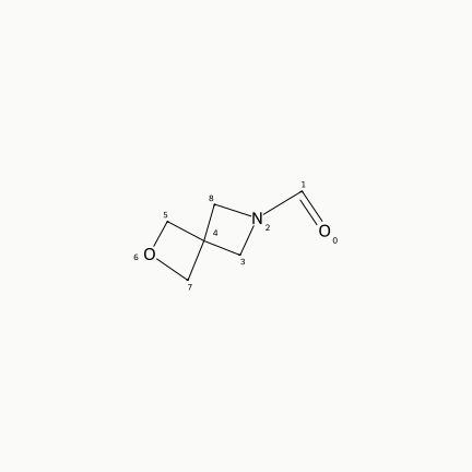 O=CN1CC2(COC2)C1